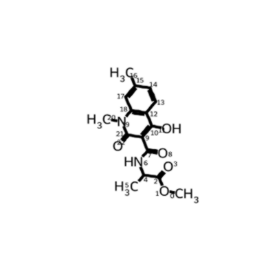 COC(=O)C(C)NC(=O)c1c(O)c2ccc(C)cc2n(C)c1=O